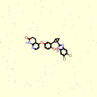 O=C1CCc2c(Oc3ccc(O)c(C4C5CC54c4nc5cc(Cl)c(Cl)cc5[nH]4)c3)ccnc2N1